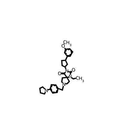 CCN1C(=O)N(C2CCC(c3cccc(OC)c3)C2)C(=O)C12CCN(Cc1ccc(N3CCCC3)cc1)CC2